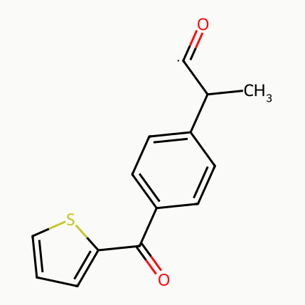 CC([C]=O)c1ccc(C(=O)c2cccs2)cc1